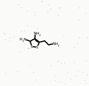 NCCC1=C(N)C(N)SS1